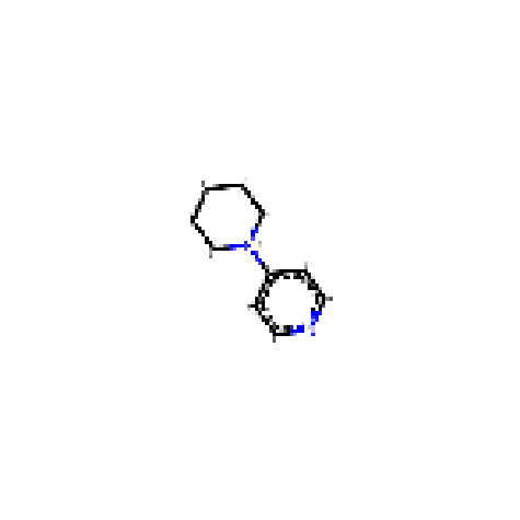 c1cc(N2CCCCC2)ccn1